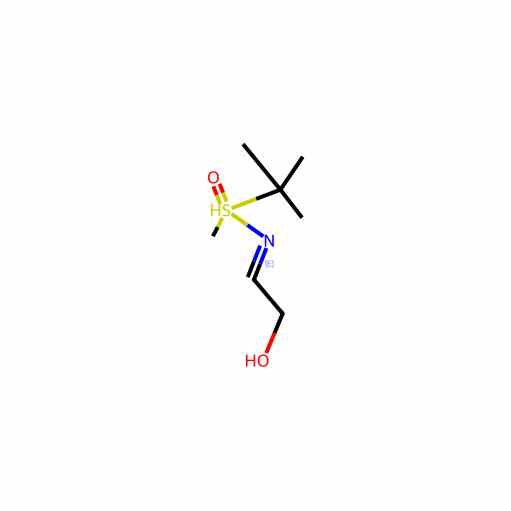 CC(C)(C)[SH](C)(=O)/N=C/CO